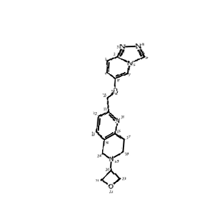 c1cc2nncn2cc1OCc1ccc2c(n1)CCN(C1COC1)C2